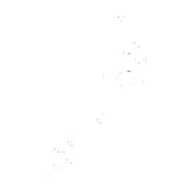 CCc1cnc(N2CCC(ON=C3CCC(c4cc(F)c(NC(=O)NCCOC)cc4F)CC3)CC2)nc1